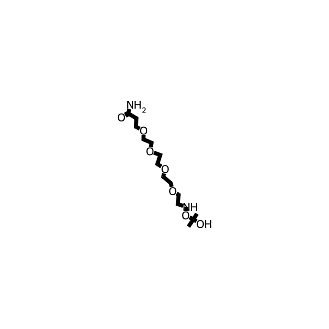 CC(C)(O)ONCCOCCOCCOCCOCCC(N)=O